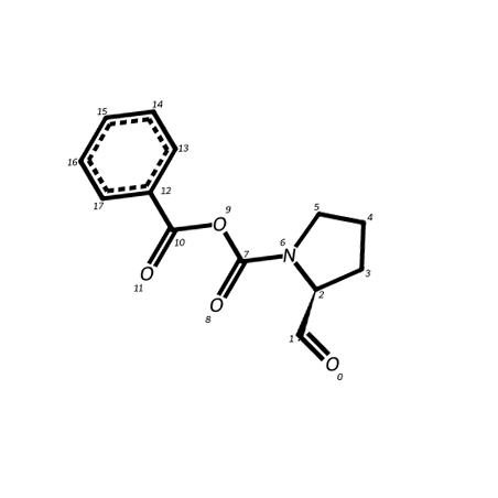 O=[C][C@@H]1CCCN1C(=O)OC(=O)c1ccccc1